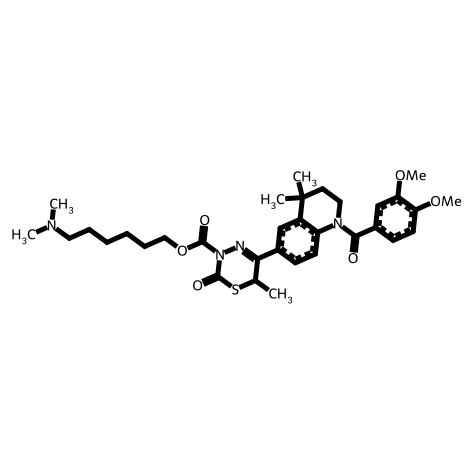 COc1ccc(C(=O)N2CCC(C)(C)c3cc(C4=NN(C(=O)OCCCCCCN(C)C)C(=O)SC4C)ccc32)cc1OC